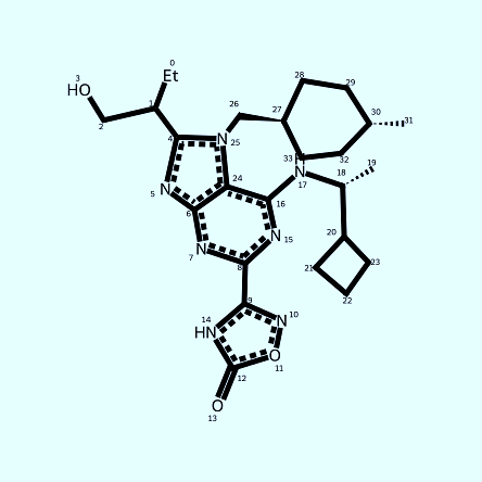 CCC(CO)c1nc2nc(-c3noc(=O)[nH]3)nc(N[C@H](C)C3CCC3)c2n1C[C@H]1CC[C@H](C)CC1